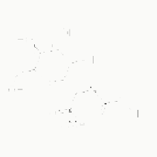 COC(=O)C(NC(=O)OC(C)(C)C)[C@@H]1OC(CO)[C@@H](O)[C@H](O)C1O